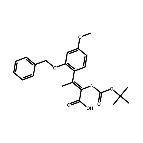 COc1ccc(C(C)=C(NC(=O)OC(C)(C)C)C(=O)O)c(OCc2ccccc2)c1